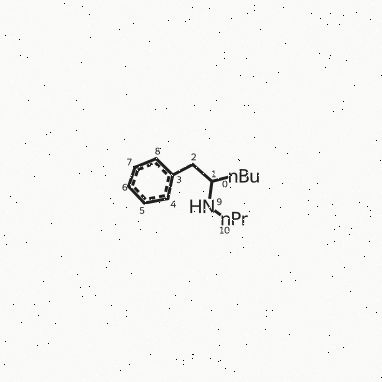 CCCCC(Cc1ccccc1)NCCC